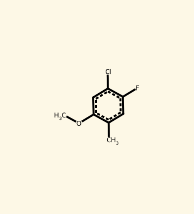 COc1cc(Cl)c(F)cc1C